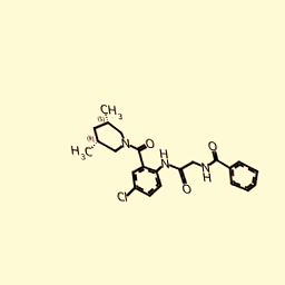 C[C@@H]1C[C@H](C)CN(C(=O)c2cc(Cl)ccc2NC(=O)CNC(=O)c2ccccc2)C1